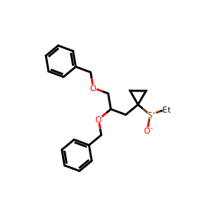 CC[S+]([O-])C1(CC(COCc2ccccc2)OCc2ccccc2)CC1